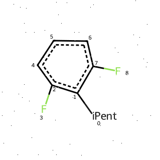 CCCC(C)c1c(F)cccc1F